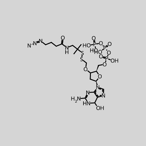 CC(C)(CNC(=O)CCCN=[N+]=[N-])SSCOC1C[C@H](n2cnc3c2N=C(N)NC3O)O[C@@H]1COP(=O)(O)OP(=O)(O)OP(=O)(O)O